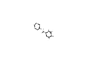 O=C(O)c1cc(C(=O)Nc2ccccc2)c(C(=O)O)c(C(=O)O)c1C(=O)O